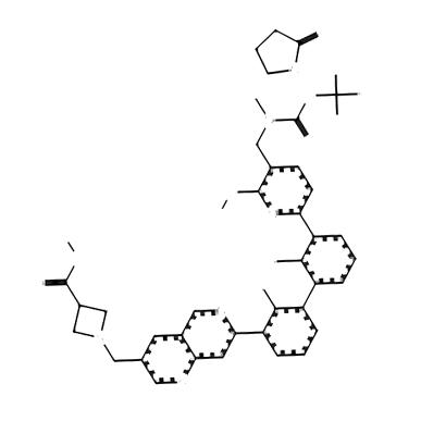 COC(=O)C1CN(Cc2cnc3cc(-c4cccc(-c5cccc(-c6ccc(CN(C[C@@H]7CCC(=O)N7)C(=O)OC(C)(C)C)c(OC)n6)c5Cl)c4Cl)ncc3c2)C1